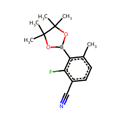 Cc1ccc(C#N)c(F)c1B1OC(C)(C)C(C)(C)O1